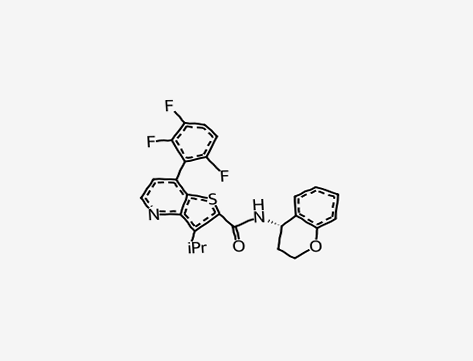 CC(C)c1c(C(=O)N[C@H]2CCOc3ccccc32)sc2c(-c3c(F)ccc(F)c3F)ccnc12